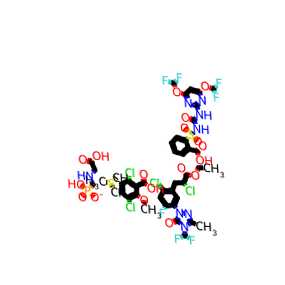 CCOC(=O)C(Cl)Cc1cc(-n2nc(C)n(C(F)F)c2=O)c(F)cc1Cl.COc1c(Cl)ccc(Cl)c1C(=O)O.C[S+](C)C.O=C(Nc1nc(OC(F)F)cc(OC(F)F)n1)NS(=O)(=O)c1ccccc1C(=O)O.O=C(O)CNCP(=O)([O-])O